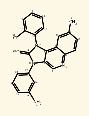 Cc1ccc2ncc3c(c2c1)n(-c1ccccc1Cl)c(=O)n3-c1cccc(N)c1